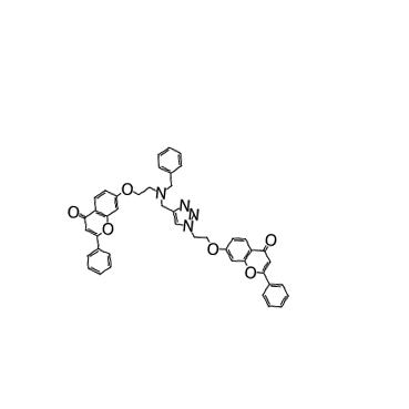 O=c1cc(-c2ccccc2)oc2cc(OCCN(Cc3ccccc3)Cc3cn(CCOc4ccc5c(=O)cc(-c6ccccc6)oc5c4)nn3)ccc12